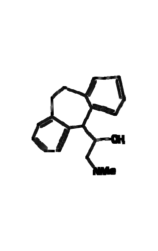 CNCC(O)C1c2ccccc2CCc2ccccc21